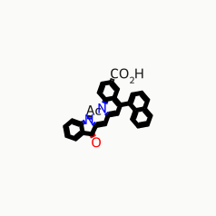 CC(=O)N1/C(=C\c2cc(-c3cccc4ccccc34)c3cc(C(=O)O)ccc3n2)C(=O)c2ccccc21